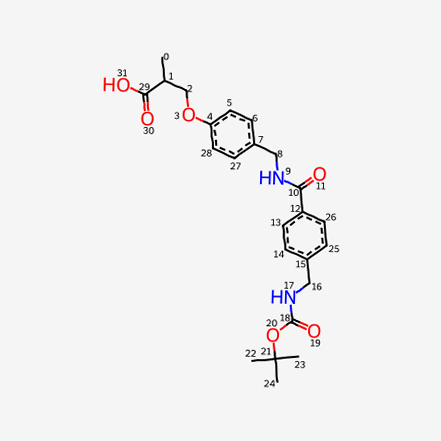 CC(COc1ccc(CNC(=O)c2ccc(CNC(=O)OC(C)(C)C)cc2)cc1)C(=O)O